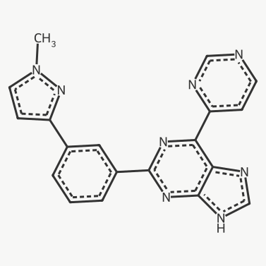 Cn1ccc(-c2cccc(-c3nc(-c4ccncn4)c4nc[nH]c4n3)c2)n1